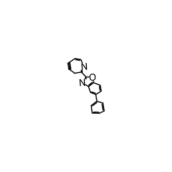 C1#CCC(c2nc3cc(-c4ccccc4)ccc3o2)=NC=C1